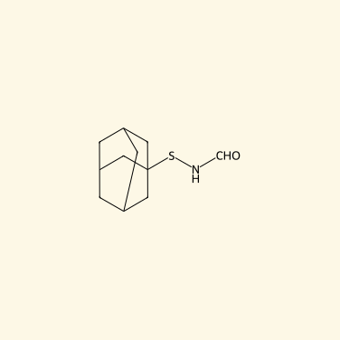 O=CNSC12CC3CC(CC(C3)C1)C2